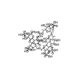 O=C(O)C1O[C@@H](O[C@@H]2C(COOO)O[C@H](COC[C@@H]3C(C(=O)O)O[C@@H](O[C@@H]4C(COOO)O[C@H](O)C(NS(=O)(=O)O)[C@@H]4O)C(OS(=O)(=O)O)[C@@H]3O)C(NS(=O)(=O)O)[C@@H]2OS(=O)(=O)O)C(O)[C@H](O)[C@@H]1COC[C@H]1OC(COOO)[C@@H](O)[C@@H](O)C1NS(=O)(=O)O